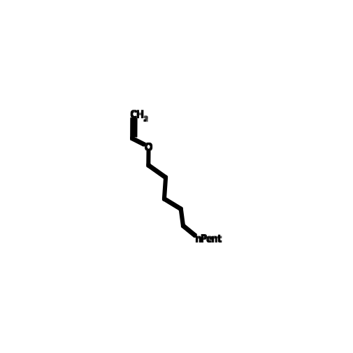 [CH2]CCCCCCCCCOC=C